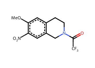 COc1cc2c(cc1[N+](=O)[O-])CN(C(=O)C(F)(F)F)CC2